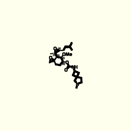 CO[C@@H]1[C@H](OC(=O)NC2CC3(CCN(C)C3)C2)CC[C@]2(CO2)[C@H]1[C@@]1(C)O[C@@H]1CC=C(C)C